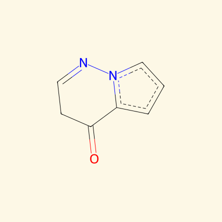 O=C1CC=Nn2cccc21